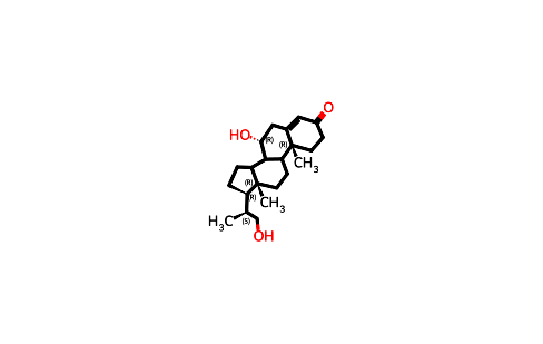 C[C@H](CO)[C@H]1CCC2C3C(CC[C@@]21C)[C@@]1(C)CCC(=O)C=C1C[C@H]3O